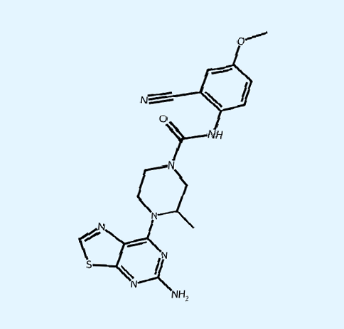 COc1ccc(NC(=O)N2CCN(c3nc(N)nc4scnc34)C(C)C2)c(C#N)c1